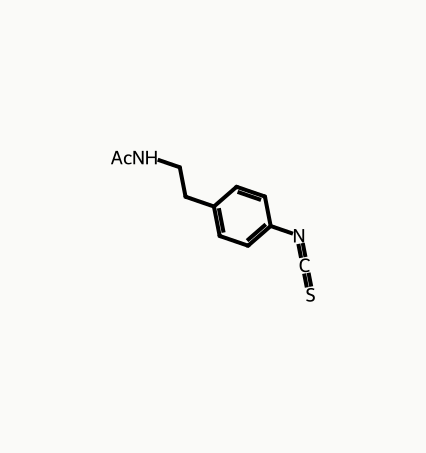 CC(=O)NCCc1ccc(N=C=S)cc1